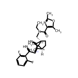 CCN(C[C@@]12CC[C@@H](/C(=C/C(=N)c3c(F)cccc3F)C1=N)C2(C)C)C(=O)c1nc(C)oc1C